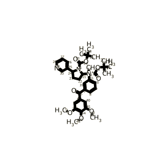 COc1cc(C(=O)c2cccc([N+](C)(C(=O)OC(C)(C)C)C3CCC(c4cccnc4)N3C(=O)OC(C)(C)C)c2)cc(OC)c1OC